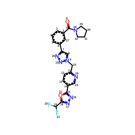 O=C(c1cccc(-c2cn(Cc3ccc(-c4nnc(C(F)F)o4)cn3)nn2)c1)N1CCCC1